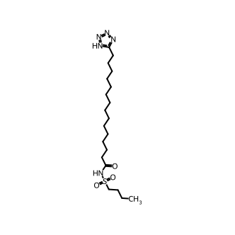 CCCCS(=O)(=O)NC(=O)CCCCCCCCCCCCCCc1nnn[nH]1